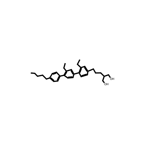 CCCCCc1ccc(-c2ccc(-c3ccc(CCCC(CO)CO)cc3CC)cc2CC)cc1